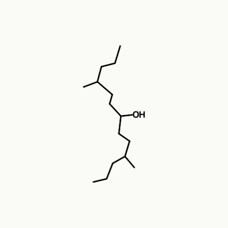 CCCC(C)CCC(O)CCC(C)CCC